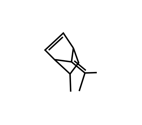 CC(C)=C1C2C=CC1C(C)C2